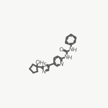 O=C(Nc1ccccc1)Nc1ccc(-c2cnc(C3(O)CCCC3)s2)cn1